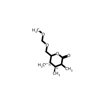 COCOCC1OC(=O)C(C)[C@@H](C)[C@@H]1C